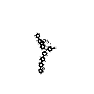 CC1(C)c2cc(-c3ccccc3)ccc2-c2ccc(N(C3=CC=C(c4ccc(-c5ccc6c(c5)oc5ccccc56)cc4)CC3)c3ccc(C#N)cc3)cc21